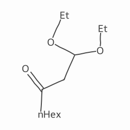 CCCCCCC(=O)CC(OCC)OCC